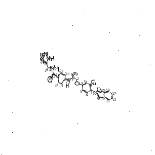 CC(C)[C@@H](COc1ccc(-c2cc3ccccc3o2)c(Cl)c1)Nc1ccc(C(=O)NCc2nnn[nH]2)cc1